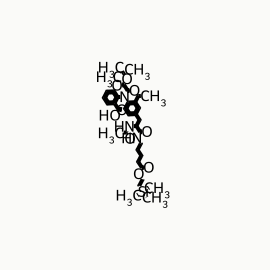 CCc1cc(CC(NC(C)=O)C(=O)NCCCCC(=O)OCC[Si](C)(C)C)ccc1N(C(=O)C(=O)OC(C)(C)C)c1ccccc1C(=O)O